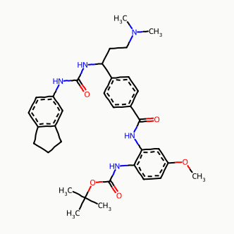 COc1ccc(NC(=O)OC(C)(C)C)c(NC(=O)c2ccc(C(CCN(C)C)NC(=O)Nc3ccc4c(c3)CCC4)cc2)c1